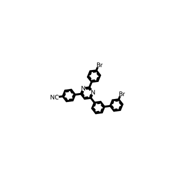 N#Cc1ccc(-c2cc(-c3cccc(-c4cccc(Br)c4)c3)nc(-c3ccc(Br)cc3)n2)cc1